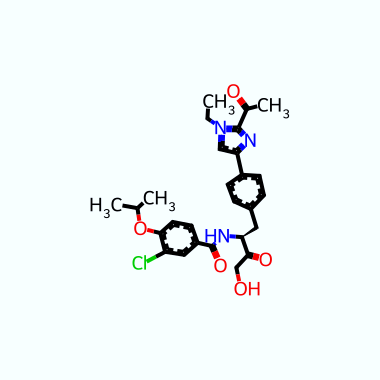 CCn1cc(-c2ccc(C[C@H](NC(=O)c3ccc(OC(C)C)c(Cl)c3)C(=O)CO)cc2)nc1C(C)=O